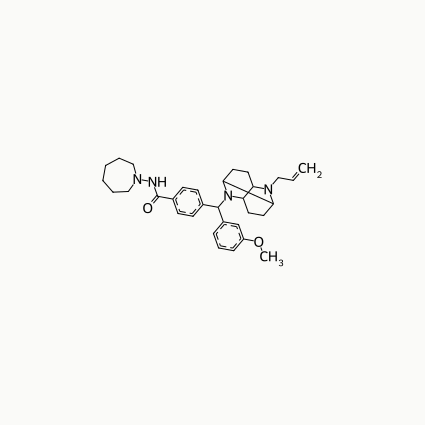 C=CCN1C2CCC3C1CCC2N3C(c1ccc(C(=O)NN2CCCCCC2)cc1)c1cccc(OC)c1